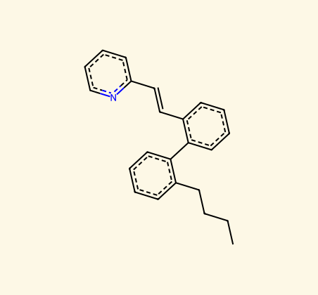 CCCCc1ccccc1-c1ccccc1/C=C/c1ccccn1